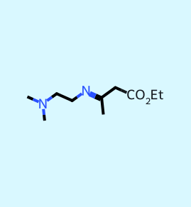 CCOC(=O)C/C(C)=N/CCN(C)C